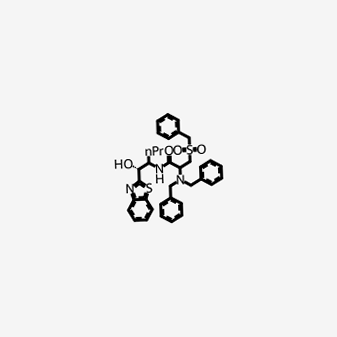 CCCC(NC(=O)C(CS(=O)(=O)Cc1ccccc1)N(Cc1ccccc1)Cc1ccccc1)[C@@H](O)c1nc2ccccc2s1